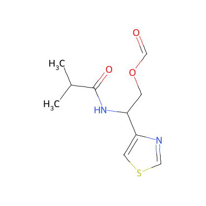 CC(C)C(=O)NC(COC=O)c1cscn1